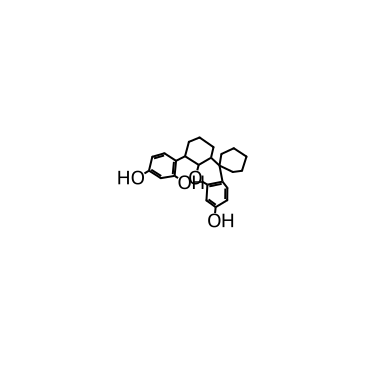 Oc1ccc(C2CCCC3C2Oc2cc(O)ccc2C32CCCCC2)c(O)c1